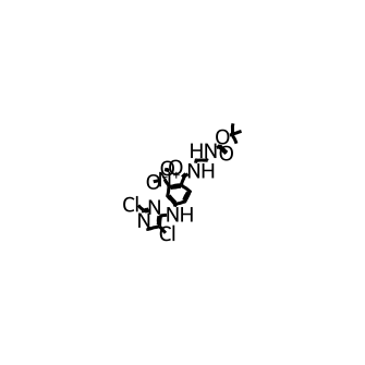 CC(C)(C)OC(=O)NCCNC(=O)c1ccc(Nc2nc(Cl)ncc2Cl)cc1[N+](=O)[O-]